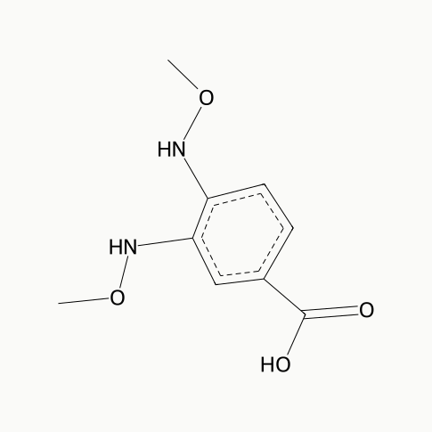 CONc1ccc(C(=O)O)cc1NOC